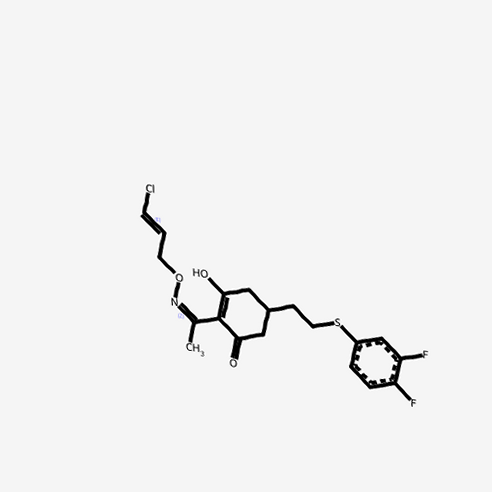 C/C(=N/OC/C=C/Cl)C1=C(O)CC(CCSc2ccc(F)c(F)c2)CC1=O